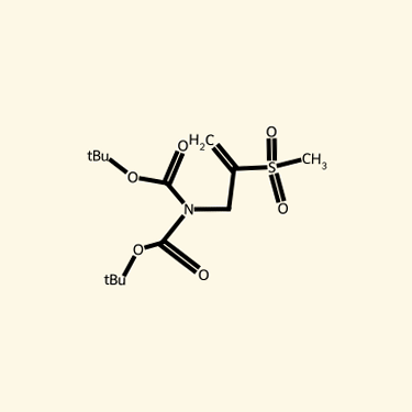 C=C(CN(C(=O)OC(C)(C)C)C(=O)OC(C)(C)C)S(C)(=O)=O